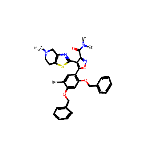 CCN(CC)C(=O)c1noc(-c2cc(C(C)C)c(OCc3ccccc3)cc2OCc2ccccc2)c1-c1nc2c(s1)CCN(C)C2